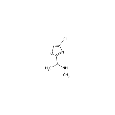 CNC(C)c1nc(Cl)co1